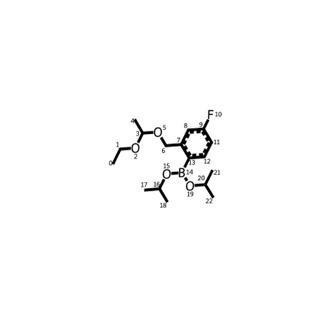 CCOC(C)OCc1cc(F)ccc1B(OC(C)C)OC(C)C